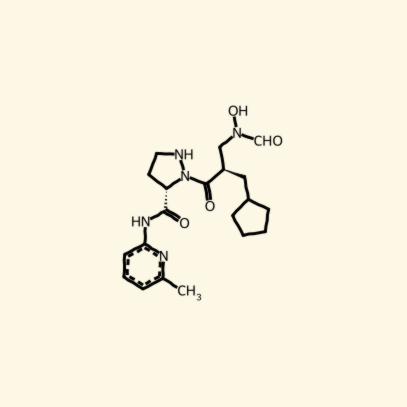 Cc1cccc(NC(=O)[C@@H]2CCNN2C(=O)[C@H](CC2CCCC2)CN(O)C=O)n1